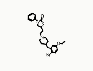 CCOc1ccc(Br)c(CC2CCN(CCC3CN(c4ccccc4)C(=O)S3)CC2)c1